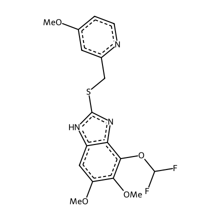 COc1ccnc(CSc2nc3c(OC(F)F)c(OC)c(OC)cc3[nH]2)c1